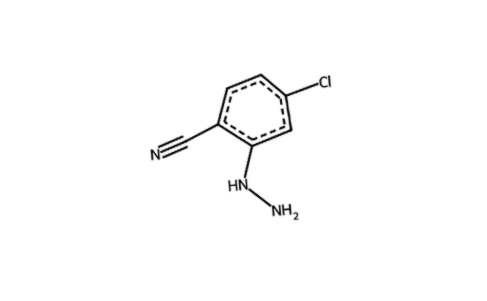 N#Cc1ccc(Cl)cc1NN